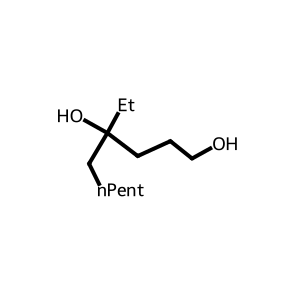 CCCCCCC(O)(CC)CCCO